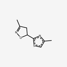 CC1=NOC(c2nc(C)cs2)C1